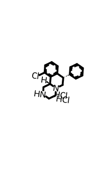 Cl.Cl.Clc1cccc2c1[C@H]1CNCCN1C[C@H]2c1ccccc1